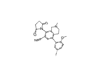 COc1ccc(F)cc1-c1cc(C#N)c(N2C(=O)CCC2=O)c2c1CCN(C)C2